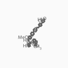 COc1cc(N2CCC(N3CCN(CCc4ccc(C5CCC(=O)NC5=O)cc4)CC3)CC2)ccc1Nc1nc(Nc2cccc3c2N(S(C)(=O)=O)CC3)c2cc[nH]c2n1